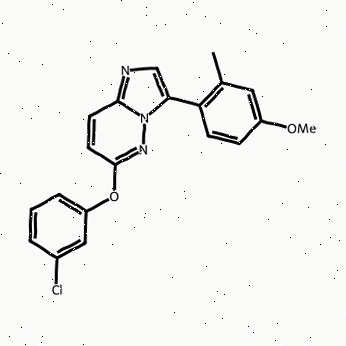 COc1ccc(-c2cnc3ccc(Oc4cccc(Cl)c4)nn23)c(C)c1